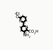 CCOc1cccc(-c2ccc(N)c(C(=O)O)n2)n1